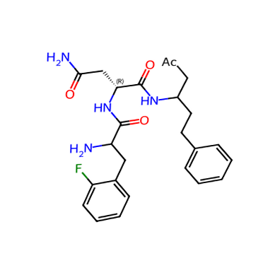 CC(=O)CC(CCc1ccccc1)NC(=O)[C@@H](CC(N)=O)NC(=O)C(N)Cc1ccccc1F